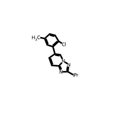 Cc1ccc(Cl)c(-c2ccc3nc(C(C)C)nn3c2)c1